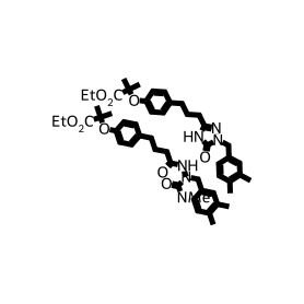 CCOC(=O)C(C)(C)Oc1ccc(CCCC(=O)NN(Cc2ccc(C)c(C)c2)C(=O)NC)cc1.CCOC(=O)C(C)(C)Oc1ccc(CCCc2nn(Cc3ccc(C)c(C)c3)c(=O)[nH]2)cc1